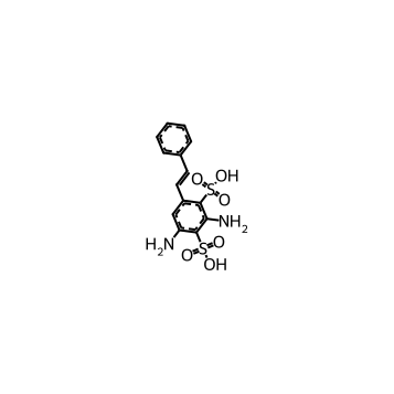 Nc1cc(C=Cc2ccccc2)c(S(=O)(=O)O)c(N)c1S(=O)(=O)O